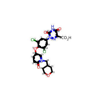 O=C(O)c1nn(-c2cc(Cl)c(Oc3ccc(=O)n(CC4CCOCC4)c3)c(Cl)c2)c(=O)[nH]c1=O